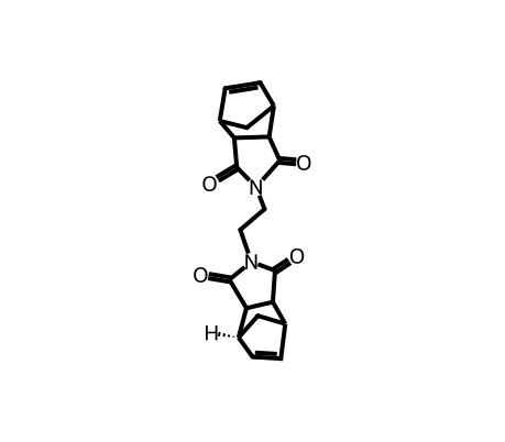 O=C1C2C3C=CC(C3)C2C(=O)N1CCN1C(=O)C2C3C=C[C@H](C3)C2C1=O